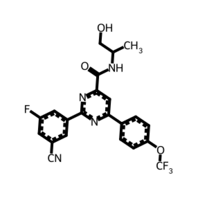 CC(CO)NC(=O)c1cc(-c2ccc(OC(F)(F)F)cc2)nc(-c2cc(F)cc(C#N)c2)n1